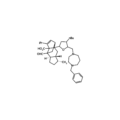 CCCCC1CC(C23C[C@@H]4[C@H](C)CC[C@H]4C4(C=O)CC2C=C(C(C)C)C34C(=O)O)OC1CN1CCCN(Cc2ccccc2)CC1